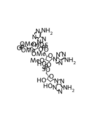 CO[C@H]1[C@@H](O[P@@](O)(=S)OC[C@H]2O[C@@H](n3cnc4c(N)ncnc43)[C@H](O[P@](O)(=S)OC[C@H]3O[C@@H](n4cnc5c(N)ncnc54)[C@H](O)[C@@H]3O)[C@@H]2OC)[C@H](n2cnc3c(N)ncnc32)O[C@@H]1CCP(=O)(OC)OC